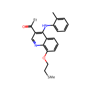 CCC(=O)c1cnc2c(OCCSC)cccc2c1Nc1ccccc1C